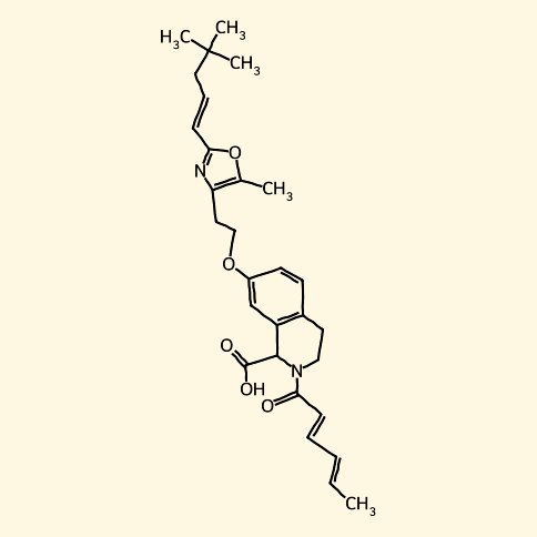 CC=CC=CC(=O)N1CCc2ccc(OCCc3nc(C=CCC(C)(C)C)oc3C)cc2C1C(=O)O